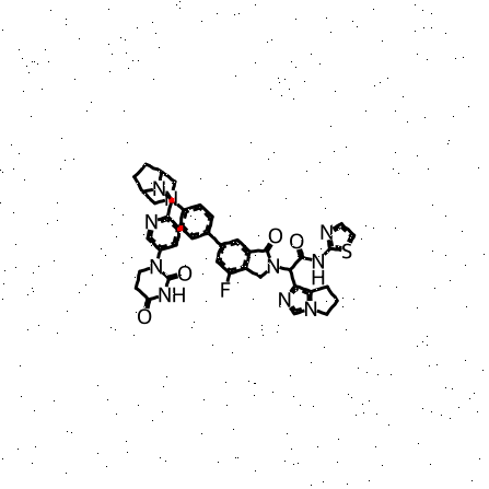 O=C1CCN(c2ccc(CN3C4CCC3CN(c3ccc(-c5cc(F)c6c(c5)C(=O)N(C(C(=O)Nc5nccs5)c5ncn7c5CCC7)C6)cc3)C4)nc2)C(=O)N1